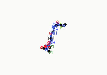 COc1ccc(C2=N[C@@H](c3ccc(Cl)cc3)[C@@H](c3ccc(Cl)cc3)N2C(=O)N2CCN(CC(=O)NCCN3C[C@@H]4CN(CCC(=O)NCCCNc5cc(N6CCC7(CC6)CN(c6cc(F)c(CN8CCC(C)(C)CC8)cc6F)CC(=O)N7)ncn5)C[C@@H]4C3)C(=O)C2)c(OC(C)C)c1